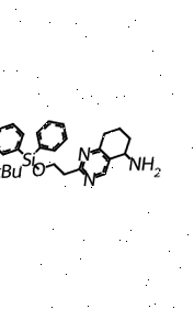 CC(C)(C)[Si](OCCc1ncc2c(n1)CCCC2N)(c1ccccc1)c1ccccc1